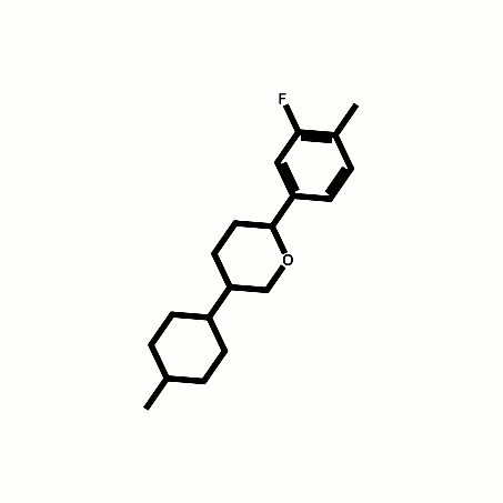 Cc1ccc(C2CCC(C3CCC(C)CC3)CO2)cc1F